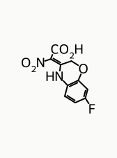 O=C(O)C(=C1COc2cc(F)ccc2N1)[N+](=O)[O-]